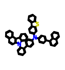 c1ccc(-n2c3ccccc3c3c4ccccc4ccc32)c(-c2ccc(N(c3ccc(-c4cccc5ccccc45)cc3)c3ccc4c(c3)sc3ccccc34)cc2)c1